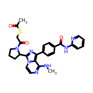 CNc1nccn2c(C3CCCN3C(=O)CSC(C)=O)nc(-c3ccc(C(=O)Nc4ccccn4)cc3)c12